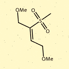 COC/C=C(/COC)S(C)(=O)=O